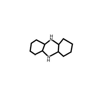 [CH]1CCCC2NC3CCCCC3NC12